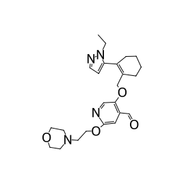 CCn1nccc1C1=C(COc2cnc(OCCN3CCOCC3)cc2C=O)CCCC1